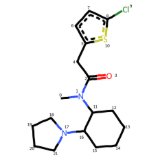 CN(C(=O)Cc1ccc(Cl)s1)C1CCCCC1N1CCCC1